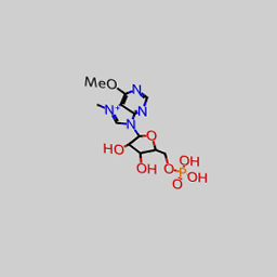 COc1ncnc2c1[n+](C)cn2C1OC(COP(=O)(O)O)C(O)C1O